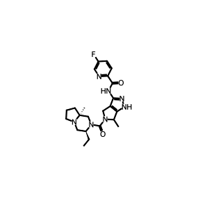 CC[C@H]1CN2CCC[C@@]2(C)CN1C(=O)N1Cc2c(NC(=O)c3ccc(F)cn3)n[nH]c2C1C